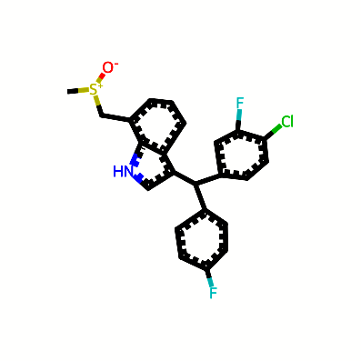 C[S+]([O-])Cc1cccc2c(C(c3ccc(F)cc3)c3ccc(Cl)c(F)c3)c[nH]c12